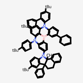 CC(C)(C)c1ccc(N2c3cc(N4c5ccc(C(C)(C)C)cc5C5(c6ccccc6)CCc6ccccc6C45C)ccc3B3c4cc(-c5ccccc5)ccc4N(c4ccc(C(C)(C)C)cc4-c4ccccc4)c4cc(C(C)(C)C)cc2c43)cc1